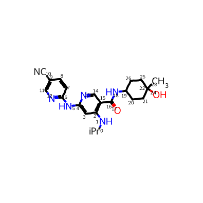 CC(C)Nc1cc(Nc2ccc(C#N)cn2)ncc1C(=O)NC1CCC(C)(O)CC1